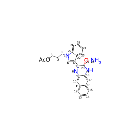 CC(=O)OCCCn1cc(-c2nc3cc4ccccc4cc3[nH]c2=O)c2ccccc21.N